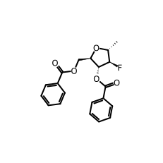 C[C@H]1O[C@H](COC(=O)c2ccccc2)[C@@H](OC(=O)c2ccccc2)[C@@H]1F